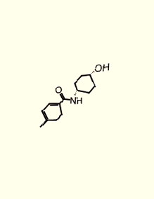 CC1=CC=C(C(=O)N[C@H]2CC[C@@H](O)CC2)CC1